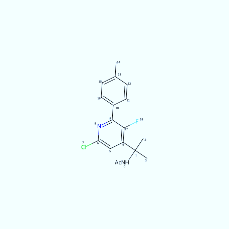 CC(=O)NC(C)(C)c1cc(Cl)nc(-c2ccc(C)cc2)c1F